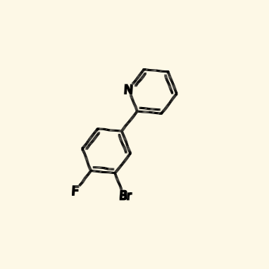 Fc1ccc(-c2ccccn2)cc1Br